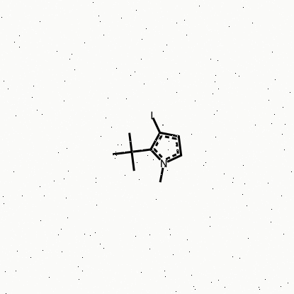 Cn1ccc(I)c1C(C)(C)C